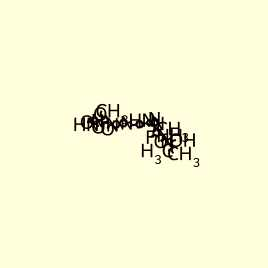 COc1ccc(C(=O)N2CCC3(CCN(CCc4ccc(-c5cc6c(-c7cc(F)cc(NC(=O)N8CC(O)C(CC(C)C)C8)c7C)ncnc6[nH]5)cc4)CC3)CC2)cc1N1CCC(=O)NC1=O